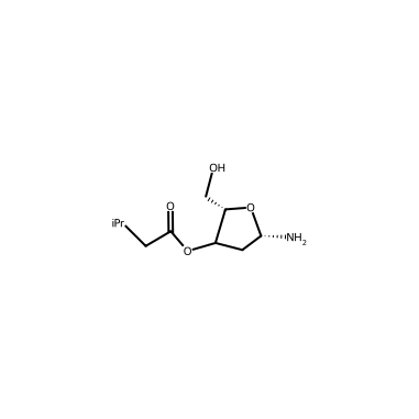 CC(C)CC(=O)OC1C[C@@H](N)O[C@H]1CO